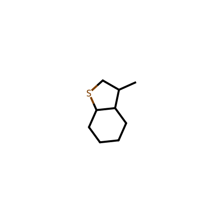 CC1CSC2CCCCC12